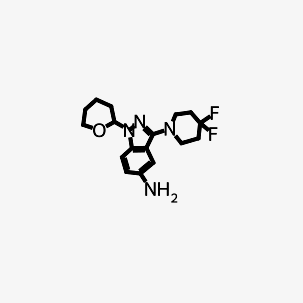 Nc1ccc2c(c1)c(N1CCC(F)(F)CC1)nn2C1CCCCO1